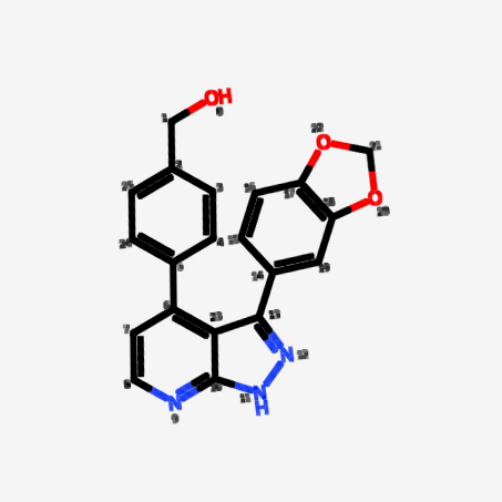 OCc1ccc(-c2ccnc3[nH]nc(-c4ccc5c(c4)OCO5)c23)cc1